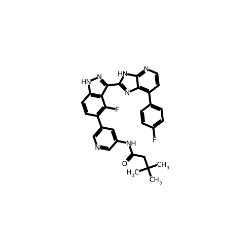 CC(C)(C)CC(=O)Nc1cncc(-c2ccc3[nH]nc(-c4nc5c(-c6ccc(F)cc6)ccnc5[nH]4)c3c2F)c1